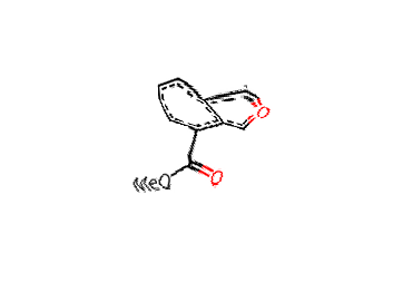 COC(=O)c1cccc2[c]occ12